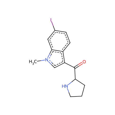 Cn1cc(C(=O)C2CCCN2)c2ccc(I)cc21